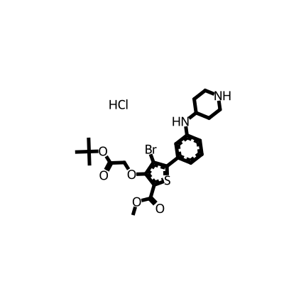 COC(=O)c1sc(-c2cccc(NC3CCNCC3)c2)c(Br)c1OCC(=O)OC(C)(C)C.Cl